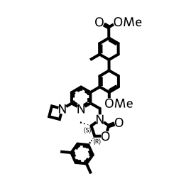 COC(=O)C1=CCC(C2C=C(c3ccc(N4CCC4)nc3CN3C(=O)O[C@H](c4cc(C)cc(C)c4)[C@@H]3C)C(OC)=CC2)C(C)=C1